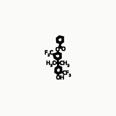 CC(C)(c1ccc(O)c(C(F)(F)F)c1)c1ccc(OC(=O)c2ccccc2)c(C(F)(F)F)c1